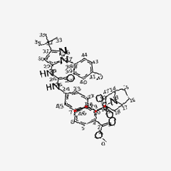 COC(=O)c1ccccc1S(=O)(=O)N1C2CCC1CC(Cc1ccc(NC(=O)Nc3cc(C(C)(C)C)nn3-c3ccc(C)cc3)cc1)C2